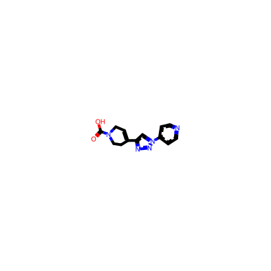 O=C(O)N1CC=C(c2cn(-c3ccncc3)nn2)CC1